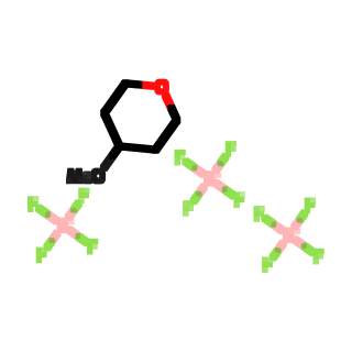 COC1CCOCC1.F[B-](F)(F)F.F[B-](F)(F)F.F[B-](F)(F)F